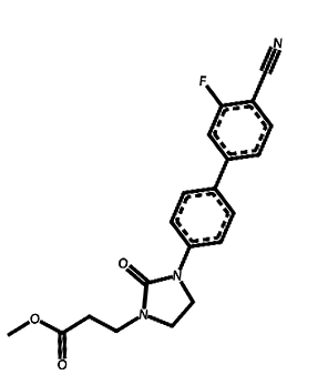 COC(=O)CCN1CCN(c2ccc(-c3ccc(C#N)c(F)c3)cc2)C1=O